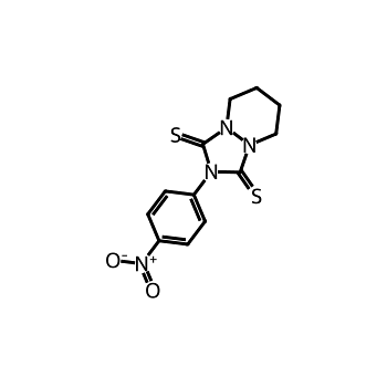 O=[N+]([O-])c1ccc(-n2c(=S)n3n(c2=S)CCCC3)cc1